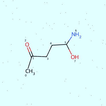 CC(=O)CCC(N)O